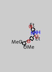 CCOc1ccc2[nH]c(C(OCC)c3ccc(OCc4cc(OC)cc(OC)c4)cc3)nc2c1